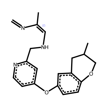 C=N/C(C)=C\NCc1cc(Oc2ccc3c(c2)CC(C)CO3)ccn1